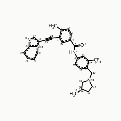 Cc1ccc(C(=O)Nc2ccc(CN3CC[C@@H](C)C3)c(C(F)(F)F)c2)cc1C#Cc1cnc2ccccn12